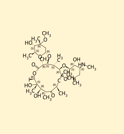 CN[C@H]1C[C@@H](C)O[C@@H](O[C@@H]2[C@@H](C)[C@H](O[C@H]3C[C@@](C)(OC)[C@@H](O)[C@H](C)O3)[C@@H](C)C(=O)O[C@H](I)[C@@](C)(O)[C@H](O)[C@@H](C)C(=O)[C@H](C)C[C@@]2(C)OC)[C@@H]1O